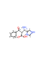 NC(c1c[nH]cn1)C(C(=O)O)C(=O)c1ccccc1